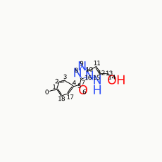 Cc1ccc(C(=O)c2nnc3cc(CO)[nH]n23)cc1